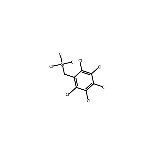 Clc1c(Cl)c(Cl)c(C[Si](Cl)(Cl)Cl)c(Cl)c1Cl